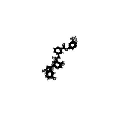 O=C(Oc1cccc(C(F)(F)F)c1)N1CCC[C@H](CNc2nc(-c3c[nH]c4ncc(Cl)cc34)ncc2F)C1